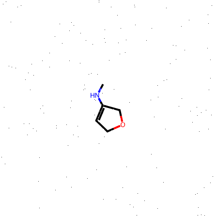 CNC1=CCOC1